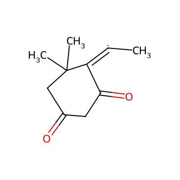 C[C]=C1C(=O)CC(=O)CC1(C)C